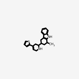 CC1CC(C2CC(c3cccs3)=CCN2)Cc2c1[nH]c1ccccc21